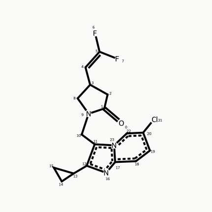 O=C1CC(C=C(F)F)CN1Cc1c(C2CC2)nc2ccc(Cl)cn12